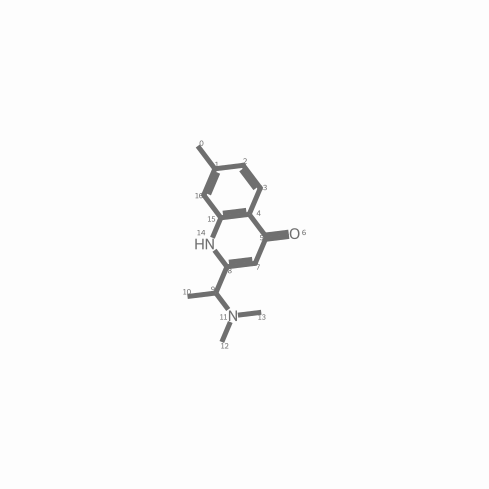 Cc1ccc2c(=O)cc(C(C)N(C)C)[nH]c2c1